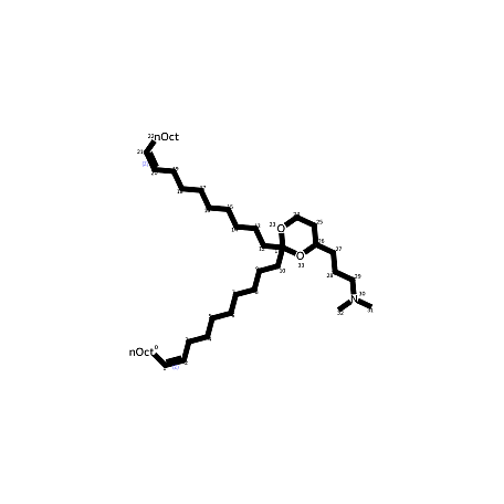 CCCCCCCC/C=C\CCCCCCCCC1(CCCCCCCC/C=C\CCCCCCCC)OCCC(CCCN(C)C)O1